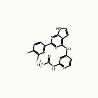 CC(=O)Nc1cc(Nc2nc(-c3ccc(F)c(C)n3)nc3[nH]ccc23)ccn1